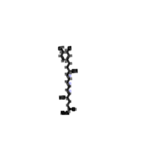 CNC(=O)CCC(O)/C=C/C=C/C=C/C(O)CCc1ccc(Cl)c(Cl)c1